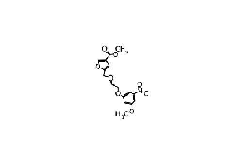 COC(=O)c1coc(COCCOc2cc(OC)cc([N+](=O)[O-])c2)c1